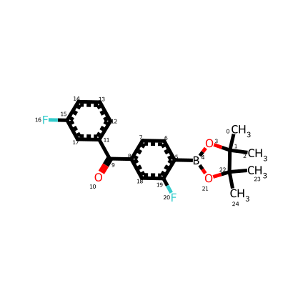 CC1(C)OB(c2ccc(C(=O)c3cccc(F)c3)cc2F)OC1(C)C